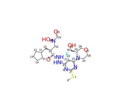 CSc1nc(NNC(=O)[C@@H](CC2CCCC2)CN(O)C=O)c(F)c(N2CCOC[C@@H]2CO)n1